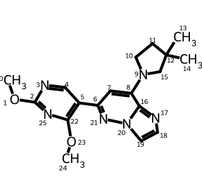 COc1ncc(-c2cc(N3CCC(C)(C)C3)c3nccn3n2)c(OC)n1